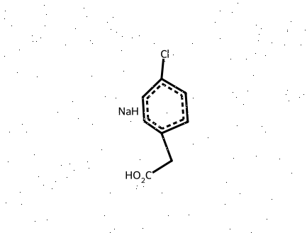 O=C(O)Cc1ccc(Cl)cc1.[NaH]